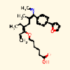 C=C/C(OCCCCCC(=O)O)=C(\CC)C/C(C)=C(/N=C)c1ccc(-c2ccco2)cc1